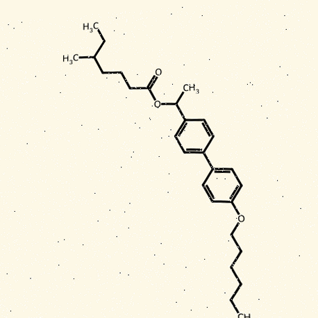 CCCCCCOc1ccc(-c2ccc(C(C)OC(=O)CCCC(C)CC)cc2)cc1